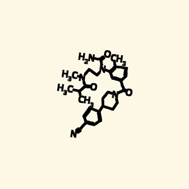 Cc1ccc(C(=O)N2CCC(c3ccc(C#N)cc3)CC2)cc1N(CCN(C)C(=O)C(C)C)C(N)=O